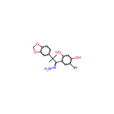 CC(C)c1cc(C(=NN)C(C)(C)c2ccc3c(c2)OCO3)c(O)cc1O